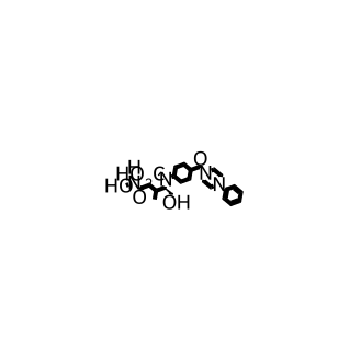 CC(CC(=O)NO)[C@H](CO)N(C(=O)O)C1CCC(C(=O)N2CCN(c3ccccc3)CC2)CC1